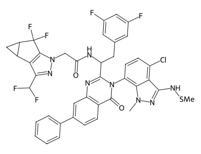 CSNc1nn(C)c2c(-n3c(C(Cc4cc(F)cc(F)c4)NC(=O)Cn4nc(C(F)F)c5c4C(F)(F)C4CC54)nc4cc(-c5ccccc5)ccc4c3=O)ccc(Cl)c12